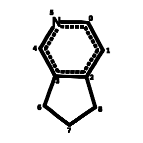 c1cc2c(cn1)CCC2